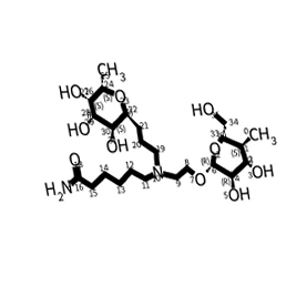 C[C@H]1[C@H](O)[C@@H](O)[C@H](OCCN(CCCCCC(N)=O)CCC[C@@H]2O[C@@H](C)[C@@H](O)[C@@H](O)[C@@H]2O)O[C@@H]1CO